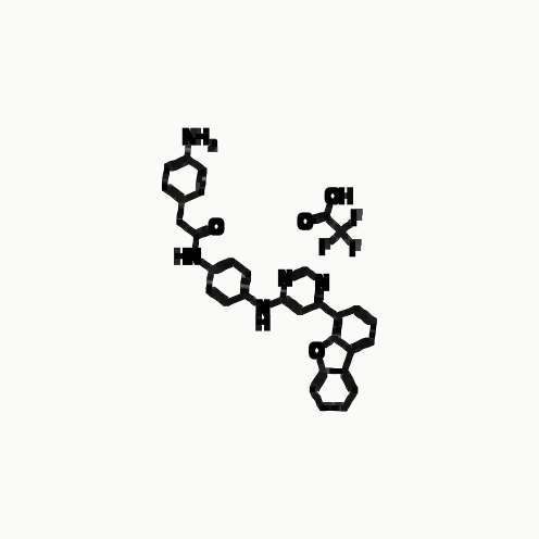 Nc1ccc(CC(=O)Nc2ccc(Nc3cc(-c4cccc5c4oc4ccccc45)ncn3)cc2)cc1.O=C(O)C(F)(F)F